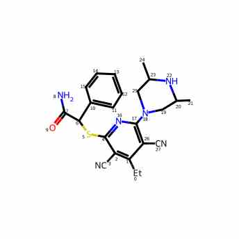 CCc1c(C#N)c(SC(C(N)=O)c2ccccc2)nc(N2CC(C)NC(C)C2)c1C#N